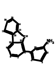 Nc1cccc(-c2cccc3c2sc2ccccc23)c1